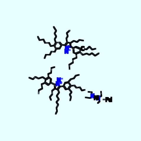 CCCCCCCCC1=C(c2cc(CCCC)c(CCCCC)c(CCCC)c2)[N+](=[N-])C(c2cc(CCCC)c(CCCCC)c(CCCC)c2)=C1CCCC.CCCCCCc1c(CCCCC)cc(C2=C(CCCC)C(CCCC)=C(c3cc(CCCCC)c(CCCCCC)c(CCCCC)c3)[N+]2=[N-])cc1CCCCC.CC[N](CC)[Ni][N](CC)CC.[CH3][Pd][CH3]